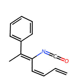 C=C/C=C\C(N=C=O)=C(/C)c1ccccc1